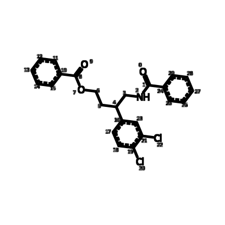 O=C(NCC(CCOC(=O)c1ccccc1)c1ccc(Cl)c(Cl)c1)c1ccccc1